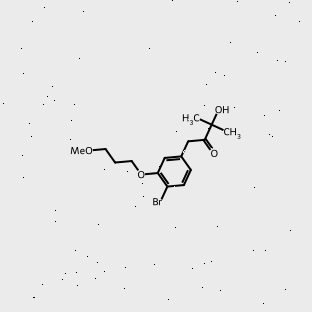 COCCCOc1cc(CC(=O)C(C)(C)O)ccc1Br